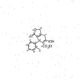 CCOC(=O)C1=C(O)CC2=C(C(=O)OC2)C1c1ccccc1C